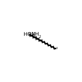 CCCCCCCCCCCCC/C=C/C[C@H](N)CO